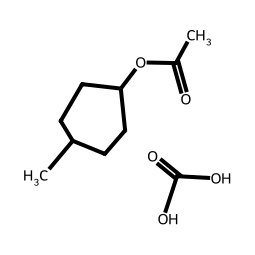 CC(=O)OC1CCC(C)CC1.O=C(O)O